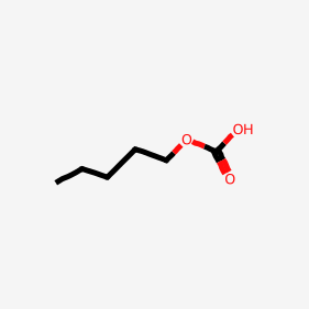 CCCCCOC(=O)O